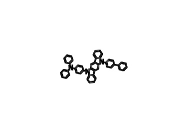 c1ccc(-c2ccc(-n3c4ccccc4c4cc5c(cc43)c3ccccc3n5-c3ccc(N(c4ccccc4)c4ccccc4)cc3)cc2)cc1